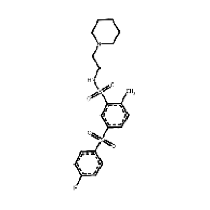 Cc1ccc(S(=O)(=O)c2ccc(F)cc2)cc1S(=O)(=O)NCCN1CCCCC1